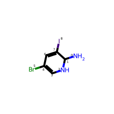 NC1NC=C(Br)C=C1I